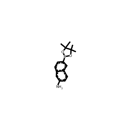 CC1(C)OB(c2ccc3cc(N)ccc3c2)OC1(C)C